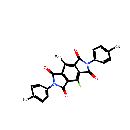 N#Cc1ccc(-n2c(=O)c3c(F)c4c(=O)n(-c5ccc(C#N)cc5)c(=O)c4c(C(F)(F)F)c3c2=O)cc1